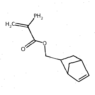 C=C(P)C(=O)OCC1CC2C=CC1C2